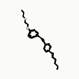 CCCCCCc1ccc(C#Cc2ccc(OCCOCCC)cc2)cc1